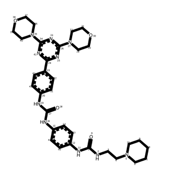 O=C(NCCN1CCCCC1)Nc1ccc(NC(=O)Nc2ccc(-c3nc(N4CCOCC4)nc(N4CCOCC4)n3)cc2)cc1